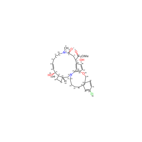 COC(=O)[C@]1(O)CC(=O)N(C)CCC/C=C\[C@H](O)[C@@H]2CC[C@H]2CN2CCCCc3cc(Cl)ccc3COc3ccc1cc32